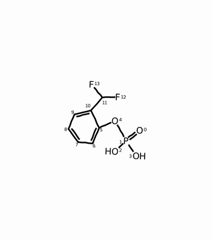 O=P(O)(O)Oc1ccccc1C(F)F